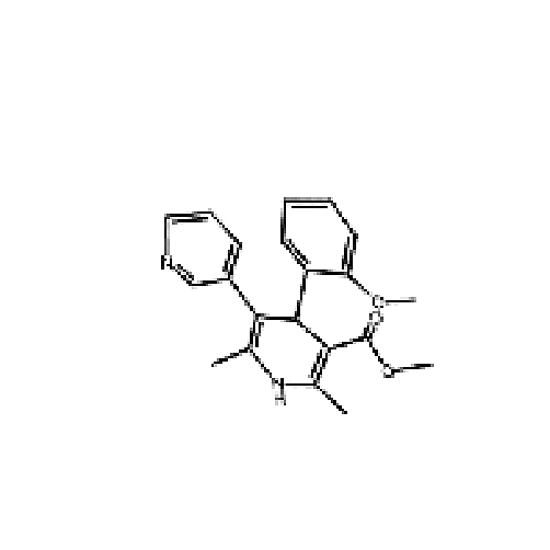 COC(=O)C1=C(C)NC(C)=C(c2cccnc2)C1c1ccccc1OC